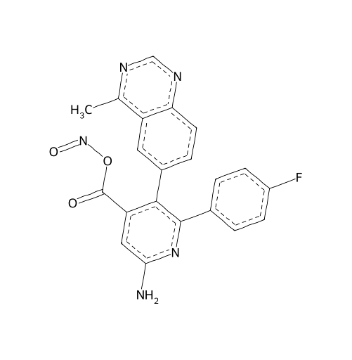 Cc1ncnc2ccc(-c3c(C(=O)ON=O)cc(N)nc3-c3ccc(F)cc3)cc12